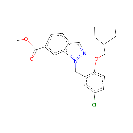 CCC(CC)COc1ccc(Cl)cc1Cn1ncc2ccc(C(=O)OC)cc21